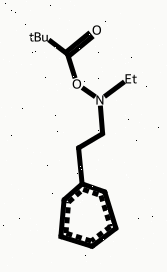 CCN(CCc1ccccc1)OC(=O)C(C)(C)C